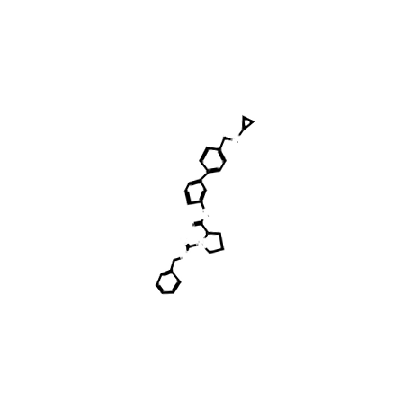 O=C(NC1CC1)c1ccc(-c2cccc(NC(=O)C3CCCN3C(=O)OCc3ccccc3)c2)cc1